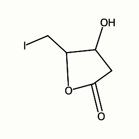 O=C1CC(O)C(CI)O1